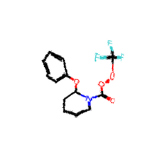 O=C(OOC(F)(F)F)N1CCCCC1Oc1ccccc1